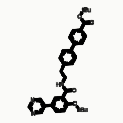 CCCCOc1ccc(-c2cncnc2)cc1C(=O)NCCc1ccc(-c2ccc(C(=O)OC(C)(C)C)cc2)cc1